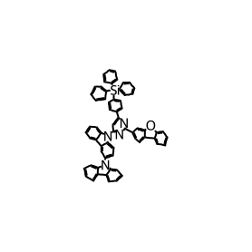 c1ccc([Si](c2ccccc2)(c2ccccc2)c2ccc(-c3cc(-n4c5ccccc5c5cc(-n6c7ccccc7c7ccccc76)ccc54)nc(-c4ccc5c(c4)oc4ccccc45)n3)cc2)cc1